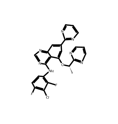 C[C@H](Oc1cc(-c2ncccn2)cc2ncnc(Nc3ccc(F)c(Cl)c3F)c12)c1ncccn1